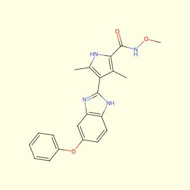 CONC(=O)c1[nH]c(C)c(-c2nc3cc(Oc4ccccc4)ccc3[nH]2)c1C